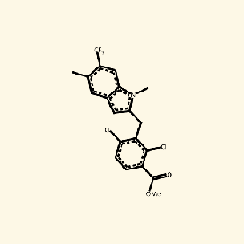 COC(=O)c1ccc(Cl)c(Cc2cc3cc(C)c(C(F)(F)F)cc3n2C)c1Cl